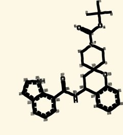 CC(C)(C)OC(=O)N1CCC2(CC1)CC(NC(=O)c1cccc3cc[nH]c13)c1ccccc1O2